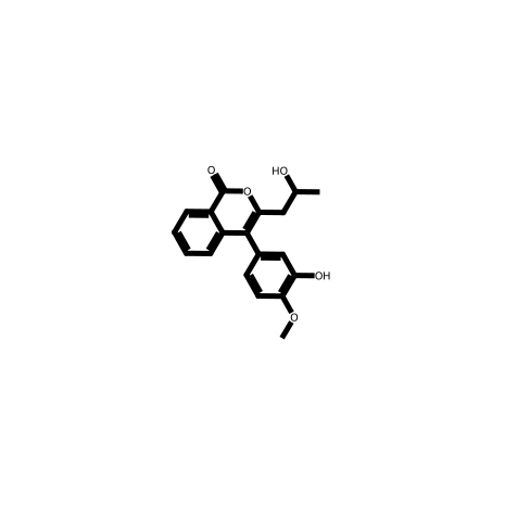 COc1ccc(-c2c(CC(C)O)oc(=O)c3ccccc23)cc1O